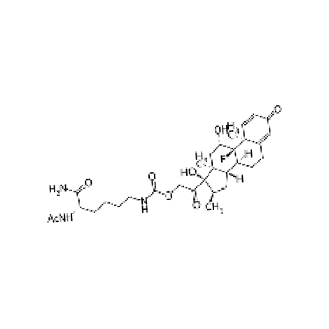 CC(=O)N[C@@H](CCCCNC(=O)OCC(=O)[C@@]1(O)[C@H](C)C[C@H]2[C@@H]3CCC4=CC(=O)C=C[C@]4(C)[C@@]3(F)[C@@H](O)C[C@@]21C)C(N)=O